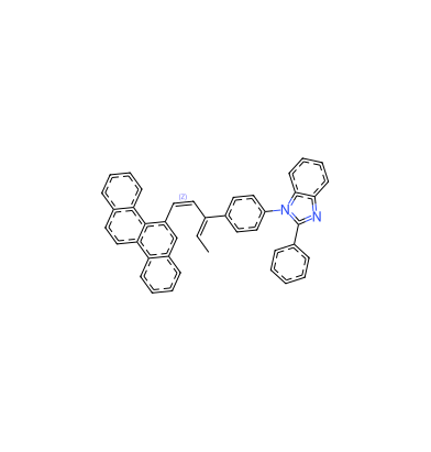 CC=C(/C=C\c1cc2ccccc2c2ccc3ccccc3c12)c1ccc(-n2c(-c3ccccc3)nc3ccccc32)cc1